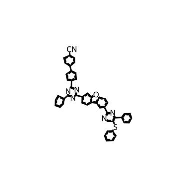 N#Cc1ccc(-c2ccc(-c3nc(-c4ccccc4)nc(-c4ccc5c(c4)oc4ccc(-c6ncc(Sc7ccccc7)c(-c7ccccc7)n6)cc45)n3)cc2)cc1